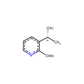 COc1ncccc1[C@@H](C)OC(C)=O